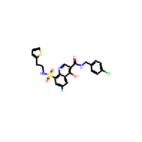 O=C(NCc1ccc(Cl)cc1)c1cnc2c(S(=O)(=O)NCCc3cccs3)cc(F)cc2c1O